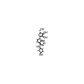 OC[C@H]1O[C@@H](n2cnc3c(N[C@H]4CC[C@H](O)C4)ncnc32)[C@H](O)[C@@H]1O